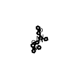 c1ccc(-c2nc(-c3ccc4c(c3)oc3ccccc34)nc(-c3ccc4c(c3)oc3ccc5c6ccccc6n(-c6ccccc6)c5c34)n2)cc1